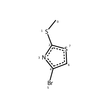 CSc1nc(Br)cs1